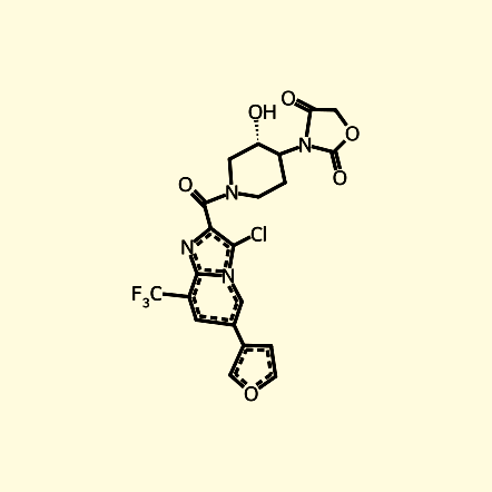 O=C(c1nc2c(C(F)(F)F)cc(-c3ccoc3)cn2c1Cl)N1CCC(N2C(=O)COC2=O)[C@@H](O)C1